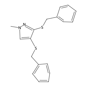 Cn1cc(SCc2ccccc2)c(SCc2ccccc2)n1